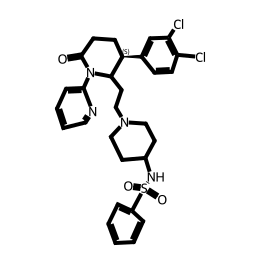 O=C1CC[C@@H](c2ccc(Cl)c(Cl)c2)C(CCN2CCC(NS(=O)(=O)c3ccccc3)CC2)N1c1ccccn1